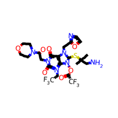 CC(C)(CN)SC1N(Cc2ncco2)c2c(n(CC(F)(F)F)c(=O)n(CC(=O)N3CCOCC3)c2=O)N1OC(=O)C(F)(F)F